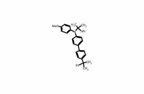 CCCC(C)(C)N(c1ccc(OC)cc1)c1ccc(-c2ccc(C(C)(C)CC)cc2)cc1